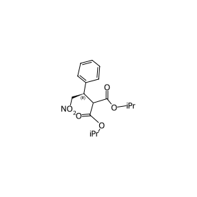 CC(C)OC(=O)C(C(=O)OC(C)C)[C@@H](C[N+](=O)[O-])c1ccccc1